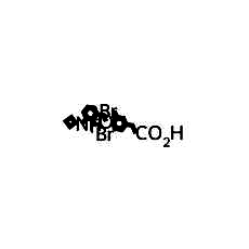 O=C(O)CCc1cc(Br)c(OCc2cccc(NC3CCC3)c2F)c(Br)c1